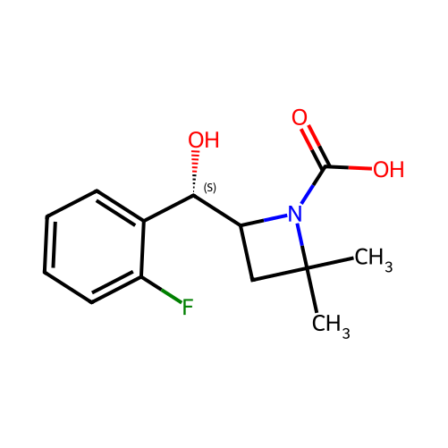 CC1(C)CC([C@@H](O)c2ccccc2F)N1C(=O)O